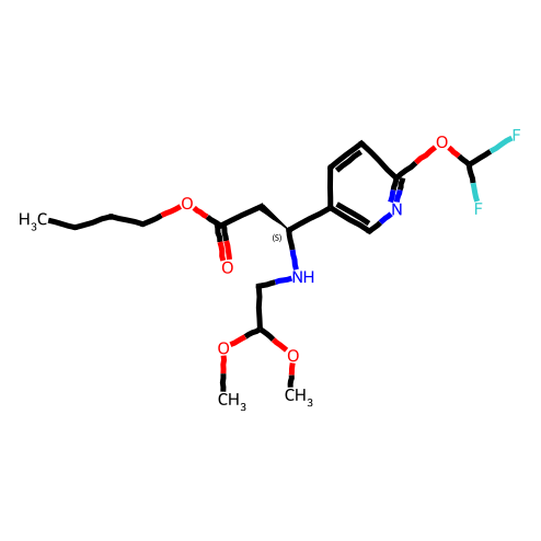 CCCCOC(=O)C[C@H](NCC(OC)OC)c1ccc(OC(F)F)nc1